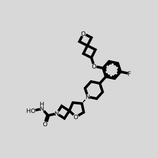 O=C(NO)N1CC2(C[C@H](N3CCC(c4cc(F)ccc4OC4CC5(COC5)C4)CC3)CO2)C1